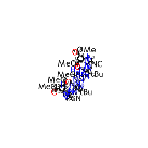 [C-]#[N+]c1cnn(-c2cc(C(=O)OC)cc(C(=O)OC)c2)c1N=Nc1c(C(C)(C)C)nn(-c2nc(OC)nc(-n3nc(C(C)(C)C)c(N=Nc4c(C#N)cnn4-c4cc(C(=O)OC)cc(C(=O)OC)c4)c3N)n2)c1N